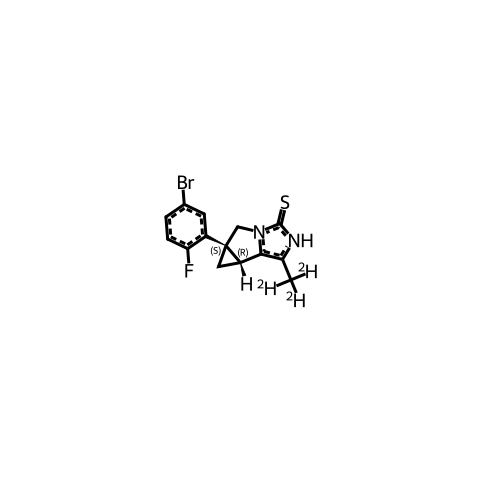 [2H]C([2H])([2H])c1[nH]c(=S)n2c1[C@@H]1C[C@]1(c1cc(Br)ccc1F)C2